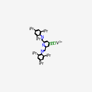 CC(C)c1cc(C(C)C)c(N=Cc2cccc(C=Nc3c(C(C)C)cc(C(C)C)cc3C(C)C)n2)c(C(C)C)c1.[Cl-].[Cl-].[Cl-].[V+3]